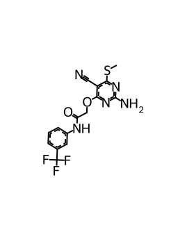 CSc1nc(N)nc(OCC(=O)Nc2cccc(C(F)(F)F)c2)c1C#N